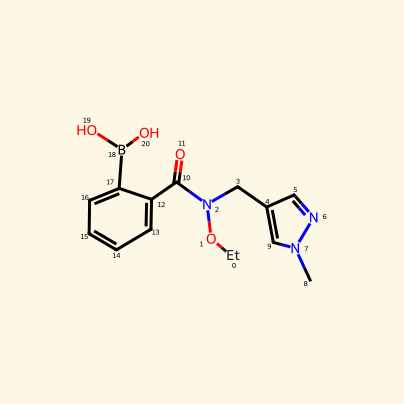 CCON(Cc1cnn(C)c1)C(=O)c1ccccc1B(O)O